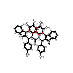 Cc1cc(C2Cc3c([nH]c4ccccc34)C(c3ccc(O)cc3)N2C(=O)N2C(c3ccc(O)c(C)c3)Cc3c([nH]c4ccccc34)C2c2ccc(O)cc2)ccc1O